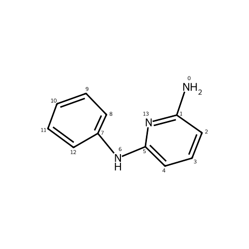 Nc1cccc(Nc2ccccc2)n1